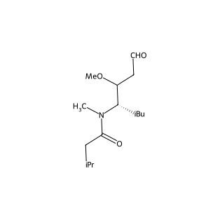 CCC(C)[C@@H](C(CC=O)OC)N(C)C(=O)CC(C)C